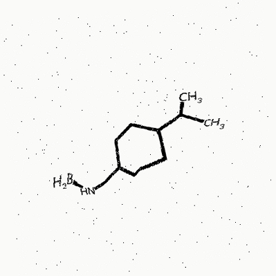 BNC1CCC(C(C)C)CC1